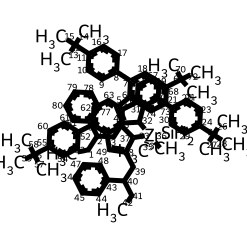 CCC(CC1=Cc2c(-c3ccc(C(C)(C)C)cc3)ccc(-c3ccc(C(C)(C)C)cc3)c2[CH]1[Zr]([CH3])([CH3])(=[SiH2])[CH]1C(CC(CC)c2ccccc2)=Cc2c(-c3ccc(C(C)(C)C)cc3)ccc(-c3ccc(C(C)(C)C)cc3)c21)c1ccccc1